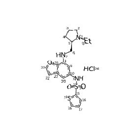 CCN1CCC[C@@H]1CNc1cc(NS(=O)(=O)c2cccs2)cc2ccoc12.Cl